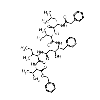 CC[C@H](C)[C@H](NC(=O)C[C@H](O)[C@H](Cc1ccccc1)NC(=O)[C@@H](NC(=O)[C@H](CC(C)C)NC(=O)Cc1ccccc1)C(C)C)C(=O)N[C@H](C(=O)OCc1ccccc1)C(C)C